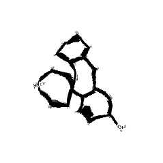 Oc1ccc2c(c1)Cc1ccccc1C21CCNC1